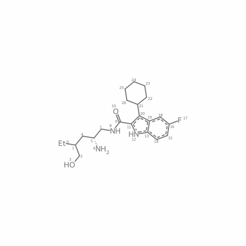 CCC(CO)C[C@@H](N)CNC(=O)c1[nH]c2ccc(F)cc2c1C1CCCCC1